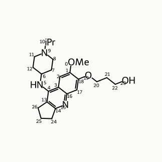 COc1cc2c(NC3CCN(C(C)C)CC3)c3c(nc2cc1OCCCO)CCC3